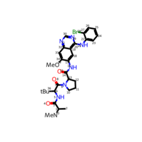 CNC(C)C(=O)NC(C(=O)N1CCCC1C(=O)Nc1cc2c(Nc3ccccc3Br)ncnc2cc1OC)C(C)(C)C